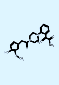 C=C(C(N)=O)c1ccccc1N1CCN(C(=O)Cc2ccc(O)c(OC)c2)CC1